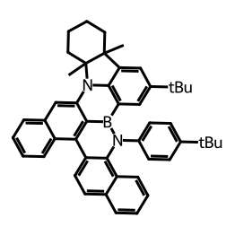 CC(C)(C)c1ccc(N2B3c4cc(C(C)(C)C)cc5c4N(c4cc6ccccc6c(c43)-c3ccc4ccccc4c32)C2(C)CCCCC52C)cc1